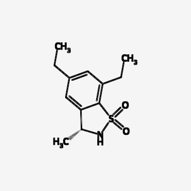 CCc1cc(CC)c2c(c1)[C@@H](C)NS2(=O)=O